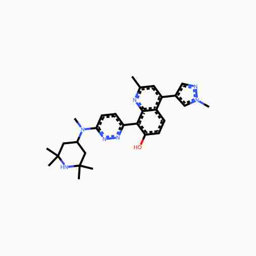 Cc1cc(-c2cnn(C)c2)c2ccc(O)c(-c3ccc(N(C)C4CC(C)(C)NC(C)(C)C4)nn3)c2n1